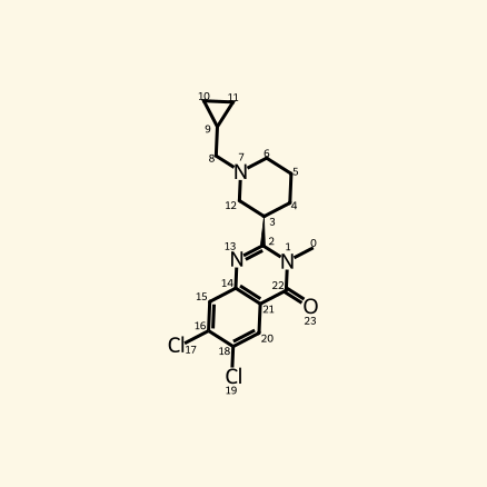 Cn1c([C@@H]2CCCN(CC3CC3)C2)nc2cc(Cl)c(Cl)cc2c1=O